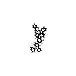 c1ccc(-n2c3ccccc3c3cc(-c4ccc(-c5ccc6c7ccccc7n(-c7nc8ccccc8c8nc9ccccc9n78)c6c5)cc4)ccc32)cc1